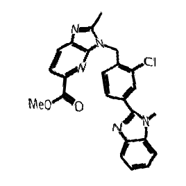 COC(=O)c1ccc2nc(C)n(Cc3ccc(-c4nc5ccccc5n4C)cc3Cl)c2n1